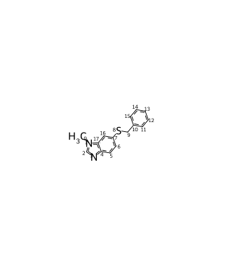 Cn1cnc2ccc(SCc3ccccc3)cc21